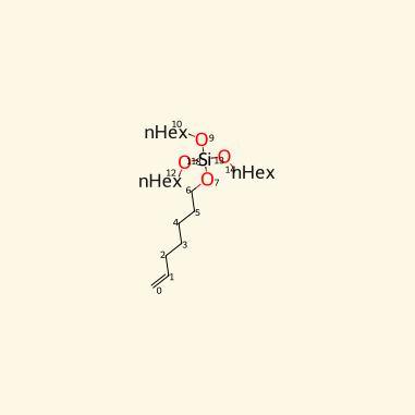 C=CCCCCCO[Si](OCCCCCC)(OCCCCCC)OCCCCCC